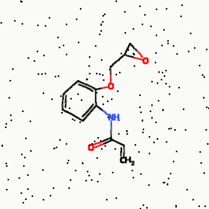 C=CC(=O)Nc1ccccc1OCC1CO1